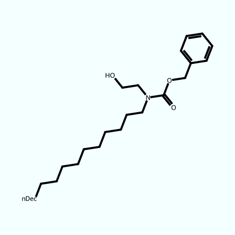 CCCCCCCCCCCCCCCCCCCCN(CCO)C(=O)OCc1ccccc1